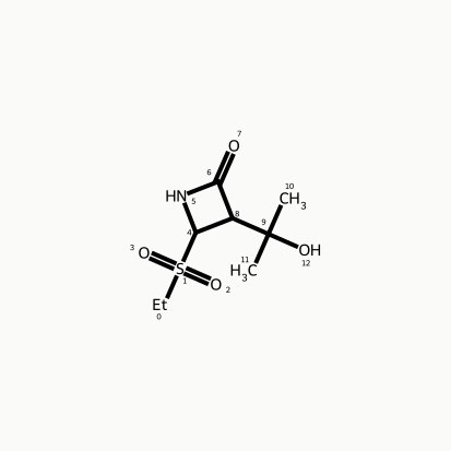 CCS(=O)(=O)C1NC(=O)C1C(C)(C)O